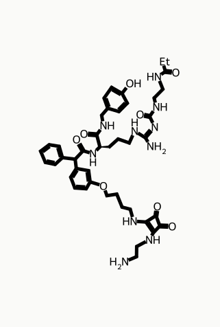 CCC(=O)NCCNC(=O)/N=C(/N)NCCC[C@@H](NC(=O)C(c1ccccc1)c1cccc(OCCCCNc2c(NCCN)c(=O)c2=O)c1)C(=O)NCc1ccc(O)cc1